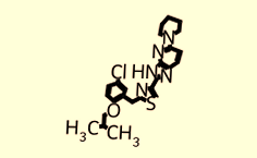 CC(C)COc1ccc(Cl)cc1Cc1nc(-c2nc3ccc(N4CCCCC4)nc3[nH]2)cs1